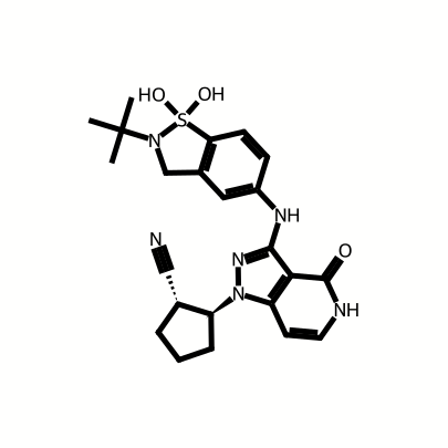 CC(C)(C)N1Cc2cc(Nc3nn([C@H]4CCC[C@@H]4C#N)c4cc[nH]c(=O)c34)ccc2S1(O)O